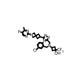 Cc1nc(N2CC3(CC(c4nnc5n4-c4ccc(Cl)cc4CN(C4CC(O)(C(F)(F)F)C4)C5)C3)C2)ncc1F